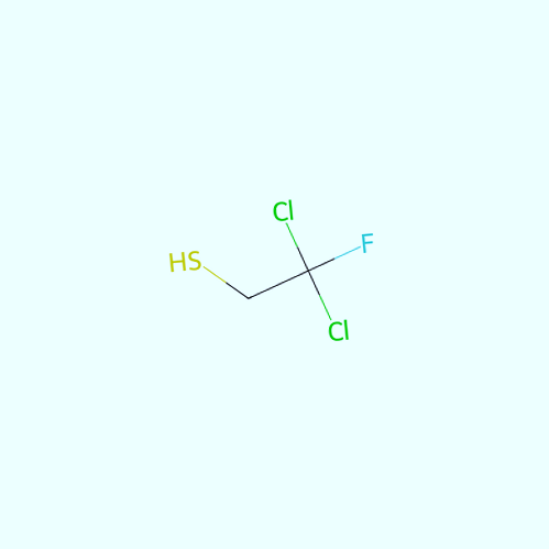 FC(Cl)(Cl)CS